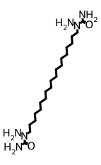 NC(=O)N(N)CCCCCCCCCCCCCCCCCCCN(N)C(N)=O